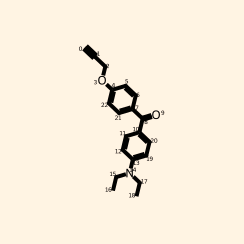 C#CCOc1ccc(C(=O)c2ccc(N(CC)CC)cc2)cc1